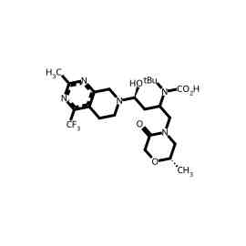 Cc1nc2c(c(C(F)(F)F)n1)CCN([C@@H](O)CC(CN1C[C@H](C)OCC1=O)N(C(=O)O)C(C)(C)C)C2